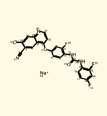 N#Cc1cc2c(Oc3ccc(NC(=O)Nc4ccc(F)cc4F)c(F)c3)ccnc2cc1[O-].[Na+]